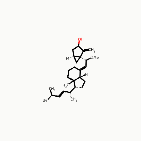 C=C1C(O)C[C@@H]2C[C@]12C(/C=C1\CCCC2(C)[C@@H]([C@H](C)/C=C/[C@H](C)C(C)C)CC[C@@H]12)OC